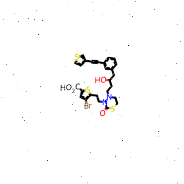 O=C(O)c1cc(Br)c(CCN2C(=O)SCCN2CCC(O)Cc2cccc(C#Cc3ccsc3)c2)s1